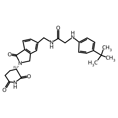 CC(C)(C)c1ccc(NCC(=O)NCc2ccc3c(c2)CN([C@H]2CCC(=O)NC2=O)C3=O)cc1